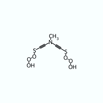 CN(C#CSOOO)C#CSOOO